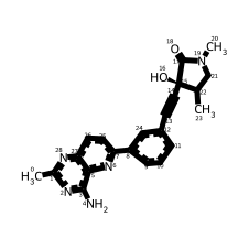 Cc1nc(N)c2nc(-c3cccc(C#C[C@]4(O)C(=O)N(C)CC4C)c3)ccc2n1